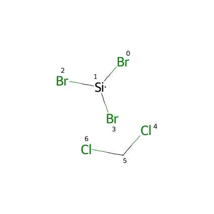 Br[Si](Br)Br.ClCCl